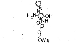 COCCOCCOC(=O)Nc1nc(N)c(/N=N/c2ccccc2)cc1O